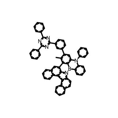 Cc1c(-c2cccc(-c3nc(-c4ccccc4)nc(-c4ccccc4)n3)c2)cc2c3c1-c1cc4ccccc4c4c5c6ccccc6ccc5n(c14)B3c1ccccc1N2c1ccccc1